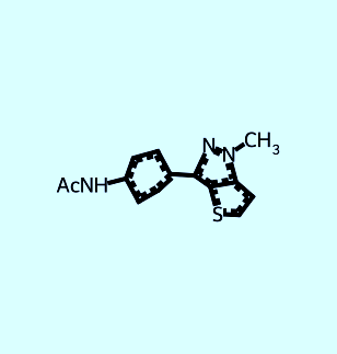 CC(=O)Nc1ccc(-c2nn(C)c3ccsc23)cc1